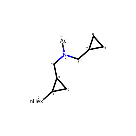 CCCCCCC1CC1CN(CC1CC1)C(C)=O